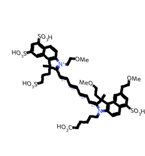 COCCc1cc(S(=O)(=O)O)c2ccc3c(c2c1)C(C)(CCOC)\C(=C/C=C/C=C/C=C/C1=[N+](CCOC)c2ccc4c(S(=O)(=O)O)cc(S(=O)(=O)O)cc4c2C1(C)CCCS(=O)(=O)O)N3CCCCCC(=O)O